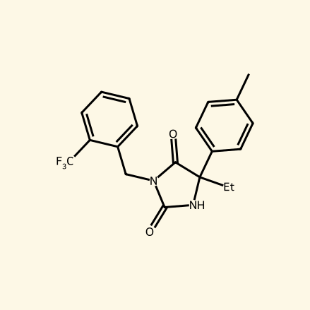 CCC1(c2ccc(C)cc2)NC(=O)N(Cc2ccccc2C(F)(F)F)C1=O